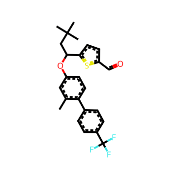 Cc1cc(OC(CC(C)(C)C)c2ccc(C=O)s2)ccc1-c1ccc(C(F)(F)F)cc1